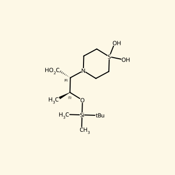 C[C@H](O[Si](C)(C)C(C)(C)C)[C@H](C(=O)O)N1CCS(O)(O)CC1